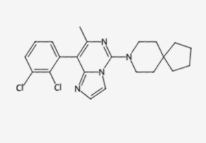 Cc1nc(N2CCC3(CCCC3)CC2)n2ccnc2c1-c1cccc(Cl)c1Cl